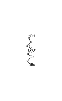 CCC(C)COCCOCCO.O